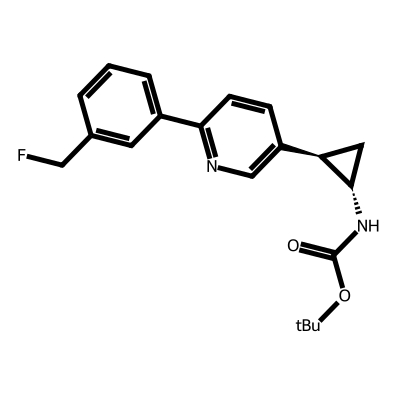 CC(C)(C)OC(=O)N[C@H]1C[C@@H]1c1ccc(-c2cccc(CF)c2)nc1